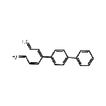 C=C/C=C\C(=C/C=C)c1ccc(-c2ccccc2)cc1